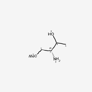 COC[C@@H](N)C(C)O